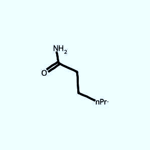 CC[CH]CCC(N)=O